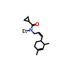 CCN(C/C=C\C1CCC(C)=CC1C)C(=O)C1CC1